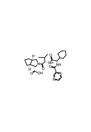 CC(C)[C@H](NC(=O)[C@@H](NC(=O)c1cnccn1)C1CCCCC1)C(=O)N1C[C@@H]2CCC[C@@H]2[C@H]1C(=O)O